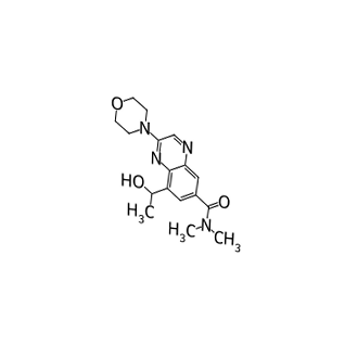 CC(O)c1cc(C(=O)N(C)C)cc2ncc(N3CCOCC3)nc12